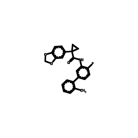 Cc1ccccc1-c1ccc(F)c(NC(=O)C2(c3ccc4c(c3)OCO4)CC2)c1